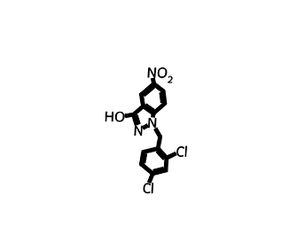 O=[N+]([O-])c1ccc2c(c1)c(O)nn2Cc1ccc(Cl)cc1Cl